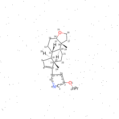 CCCOc1cncc(C2=CC[C@H]3[C@@H]4CCC5OCC[C@]5(C)[C@H]4CC[C@]23C)c1